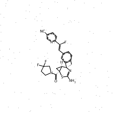 N#Cc1ccc(/C(F)=C/c2ccc3c(c2)[C@@]2(C3)N=C(N)S[C@@]3(C(=O)N4CCC(F)(F)C4)C[C@H]32)nc1